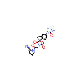 CNC(=O)Nc1ccc2c(c1)CC[C@@]21OC(=O)N(CC(=O)N2CCC[C@H]2C#N)C1=O